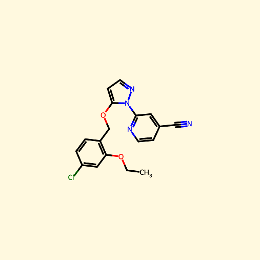 CCOc1cc(Cl)ccc1COc1ccnn1-c1cc(C#N)ccn1